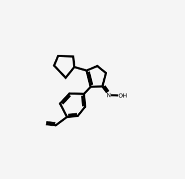 C=Cc1ccc(C2=C(C3CCCC3)CCC2=NO)cc1